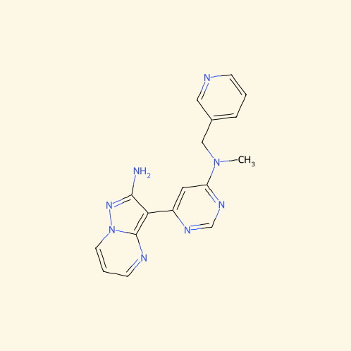 CN(Cc1cccnc1)c1cc(-c2c(N)nn3cccnc23)ncn1